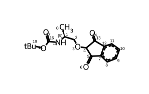 C[C@@H](COC1C(=O)c2ccccc2C1=O)NC(=O)OC(C)(C)C